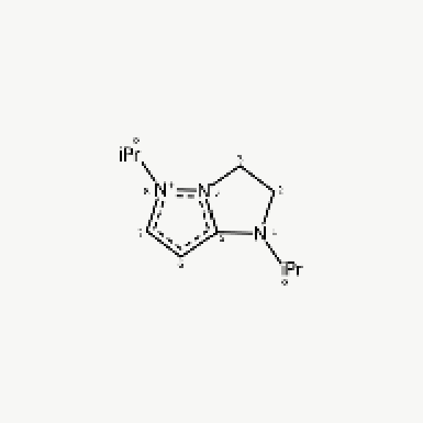 CC(C)N1CCn2c1cc[n+]2C(C)C